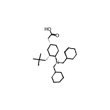 CC(C)(C)C[C@@H]1C[C@H](CC(=O)O)CC[C@H]1N(CC1CCCCC1)CC1CCCCC1